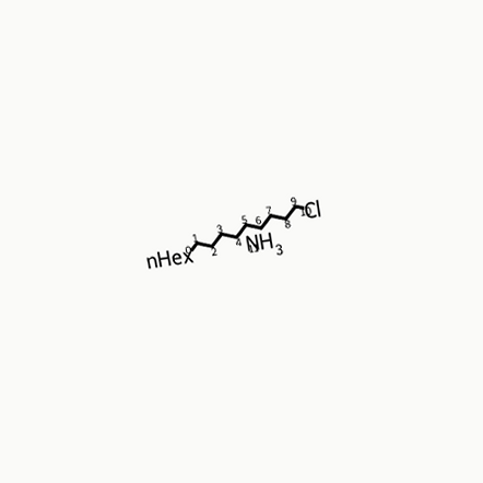 CCCCCCCCCCCCCCCCl.N